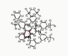 CC(C)(C)c1cccc(N2c3cc(C(C)(C)C)ccc3B3c4cc5c(cc4N(c4cc(-c6ccccc6)c(C(C)(C)C)cc4-c4ccccc4)c4cc(N(c6ccccc6)c6ccccc6)cc2c43)C(C)(C)CCC5(C)C)c1